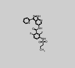 CCCS(=O)(=O)Nc1ccc(F)c(C(=O)Nc2cnc3[nH]nc(-c4ccccn4)c3c2)c1F